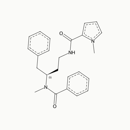 CN(C(=O)c1ccccc1)[C@H](CCNC(=O)c1cccn1C)Cc1ccccc1